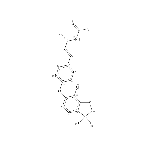 CC(=O)N[C@@H](C)/C=C/c1ccc(Oc2ccc3c(c2Cl)CCC3(F)F)nc1